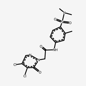 Cc1cc(NC(=O)Cn2ncc(Cl)c(Cl)c2=O)ccc1S(=O)(=O)N(C)C